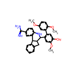 COc1ccc(OC)c(-c2cc(O)c(OC)cc2C2Nc3ccc(C(=N)N)cc3C3c4ccccc4CC23)c1